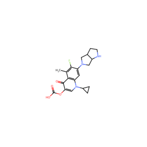 Cc1c(F)c(N2CC3CCNC3C2)cc2c1c(=O)c(OC(=O)O)cn2C1CC1